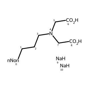 CCCCCCCCCCCCN(CC(=O)O)CC(=O)O.[NaH].[NaH]